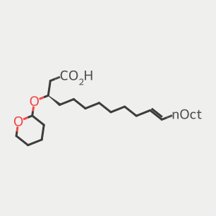 CCCCCCCCC=CCCCCCCC[C@H](CC(=O)O)OC1CCCCO1